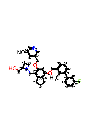 Cc1c(COc2cc(OCc3cncc(C#N)c3)c(CN3CCC3CO)c3c2CCC3)cccc1-c1cccc(F)c1